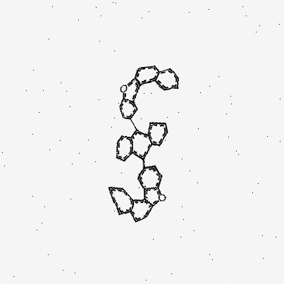 c1ccc2c(c1)ccc1oc3ccc(-c4c5ccccc5c(-c5ccc6oc7ccc8ccccc8c7c6c5)c5ccccc45)cc3c12